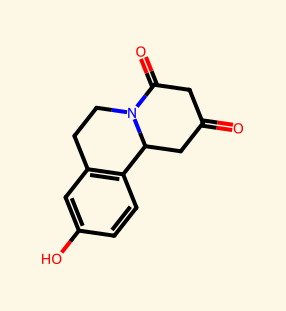 O=C1CC(=O)N2CCc3cc(O)ccc3C2C1